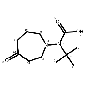 CC(C)(C)N(C(=O)O)N1CCCC(=O)CC1